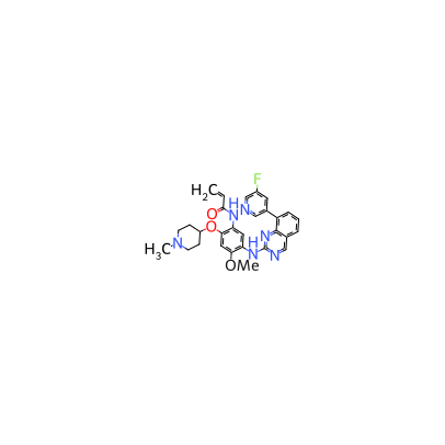 C=CC(=O)Nc1cc(Nc2ncc3cccc(-c4cncc(F)c4)c3n2)c(OC)cc1OC1CCN(C)CC1